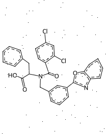 O=C(O)C(Cc1ccccc1)N(Cc1cccc(-c2nc3ccccc3o2)c1)C(=O)c1ccc(Cl)cc1Cl